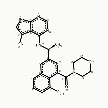 Cc1cccc2cc([C@H](C)Nc3ncnc4[nH]cc(C#N)c34)nc(C(=O)N3CCOCC3)c12